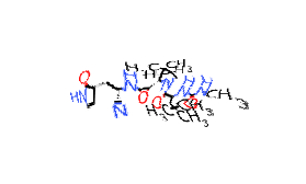 CNC(=O)N[C@H](C(=O)N1C[C@H]2[C@@H]([C@H]1C1OC1N[C@H](C#N)C[C@@H]1CCNC1=O)C2(C)C)C(C)(C)C